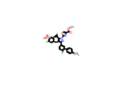 CCCOC(=O)c1csc(-n2nc(-c3ccc(F)c(-c4ccc(C)cc4)c3)c(Cc3ccc([SH](=O)=O)c(F)c3)c2C2CC2)n1